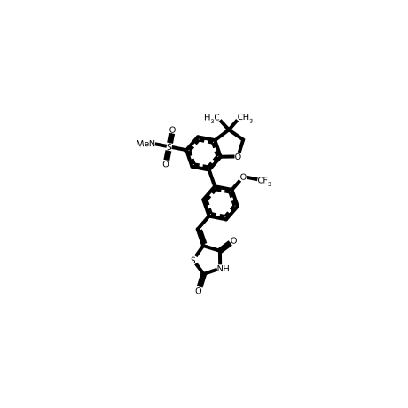 CNS(=O)(=O)c1cc(-c2cc(/C=C3/SC(=O)NC3=O)ccc2OC(F)(F)F)c2c(c1)C(C)(C)CO2